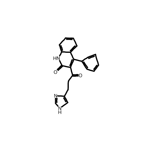 O=C(CCc1c[nH]cn1)c1c(-c2ccccc2)c2ccccc2[nH]c1=O